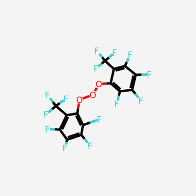 Fc1c(F)c(F)c(C(F)(F)F)c(OOOc2c(F)c(F)c(F)c(F)c2C(F)(F)F)c1F